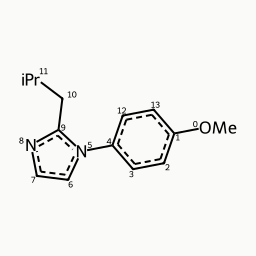 COc1ccc(-n2ccnc2CC(C)C)cc1